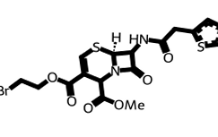 COC(=O)C1C(C(=O)OCCBr)=CS[C@H]2C(NC(=O)Cc3cccs3)C(=O)N12